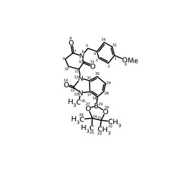 COc1ccc(CN2C(=O)CCC(n3c(=O)n(C)c4c(B5OC(C)(C)C(C)(C)O5)cccc43)C2=O)cc1